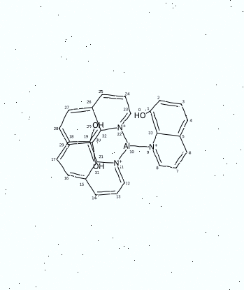 Oc1cccc2ccc[n+]([Al]([n+]3cccc4cccc(O)c43)[n+]3cccc4cccc(O)c43)c12